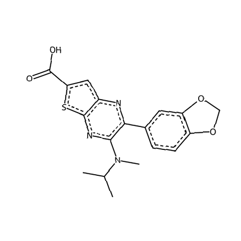 CC(C)N(C)c1nc2sc(C(=O)O)cc2nc1-c1ccc2c(c1)OCO2